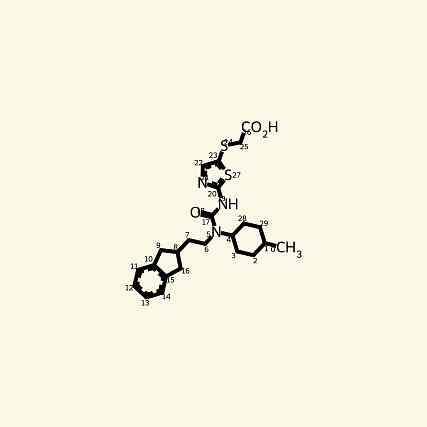 CC1CCC(N(CCC2Cc3ccccc3C2)C(=O)Nc2ncc(SCC(=O)O)s2)CC1